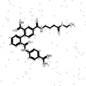 CCOC(=O)CCCNC(=O)c1ccc(-c2ccccc2C(=O)Nc2ccc(C(=N)N)cc2)c(C(=O)O)c1